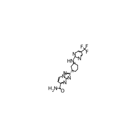 NC(=O)c1ccn2nc([C@H]3CCC[C@@H](Nc4ncc(C(F)(F)F)cn4)C3)nc2n1